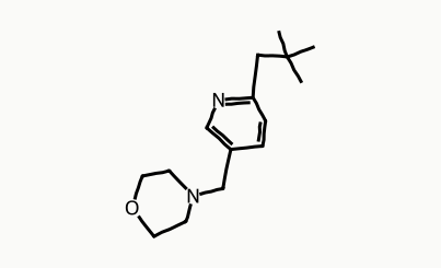 CC(C)(C)Cc1ccc(CN2CCOCC2)cn1